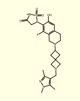 Cc1nn(C)c(C)c1CN1CC2(CC(N3CCc4cc(O)c(N5CC(=O)NS5(=O)=O)c(F)c4C3)C2)C1